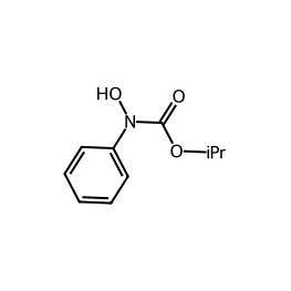 CC(C)OC(=O)N(O)c1ccccc1